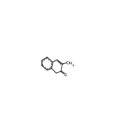 CC1=Cc2ccccc2CC1=O